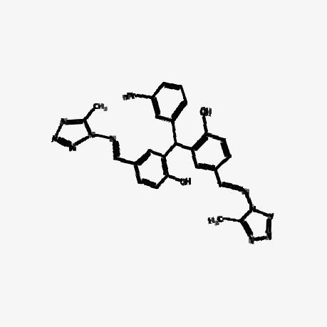 CCCc1cccc(C(c2cc(C=Nn3nnnc3C)ccc2O)c2cc(C=Nn3nnnc3C)ccc2O)c1